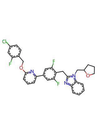 Fc1cc(Cl)ccc1COc1cccc(-c2cc(F)c(Cc3nc4ccccc4n3CC3CCCO3)c(F)c2)n1